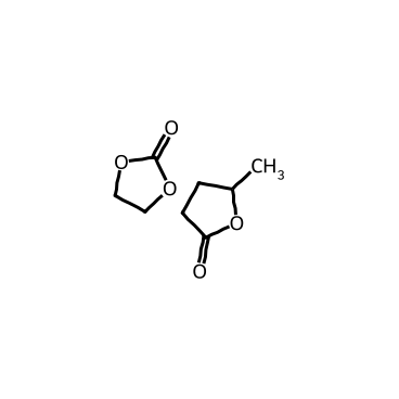 CC1CCC(=O)O1.O=C1OCCO1